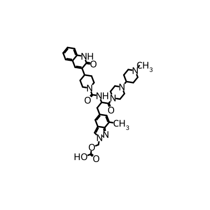 Cc1cc(CC(NC(=O)N2CCC(c3cc4ccccc4[nH]c3=O)CC2)C(=O)N2CCN(C3CCN(C)CC3)CC2)cc2cn(COC(=O)O)nc12